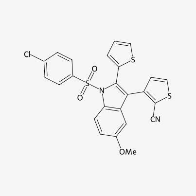 COc1ccc2c(c1)c(-c1ccsc1C#N)c(-c1cccs1)n2S(=O)(=O)c1ccc(Cl)cc1